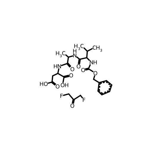 CC(NC(=O)C(NC(=O)OCc1ccccc1)C(C)C)C(=O)NC(CC(=O)O)C(=O)O.O=C(CF)CF